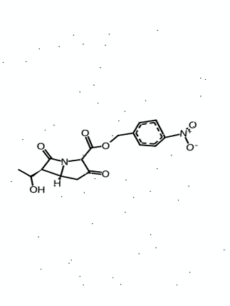 CC(O)[C@H]1C(=O)N2C(C(=O)OCc3ccc([N+](=O)[O-])cc3)C(=O)C[C@H]12